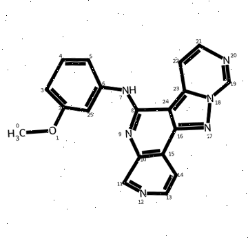 COc1cccc(Nc2nc3cnccc3c3nn4cnccc4c23)c1